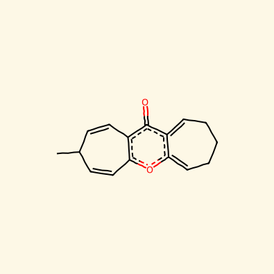 CC1C=Cc2oc3c(c(=O)c2C=C1)=CCCCC=3